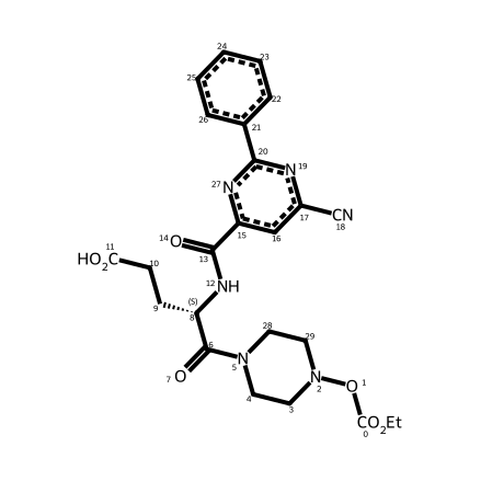 CCOC(=O)ON1CCN(C(=O)[C@H](CCC(=O)O)NC(=O)c2cc(C#N)nc(-c3ccccc3)n2)CC1